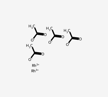 CC(=O)[O-].CC(=O)[O-].CC(=O)[O-].CC(=O)[O-].[Rh+3].[Rh+3]